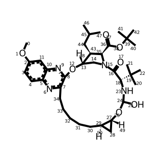 COc1ccc2nc3c(nc2c1)O[C@H]1CN(C(=O)[C@H](C(C)(C)C)NC(O)O[C@@H]2C[C@H]2CCCCC3)[C@H](C(=O)OC(C)(C)C)[C@@H]1CC(C)C